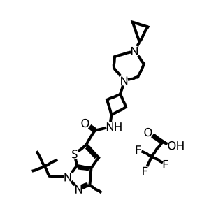 Cc1nn(CC(C)(C)C)c2sc(C(=O)NC3CC(N4CCN(C5CC5)CC4)C3)cc12.O=C(O)C(F)(F)F